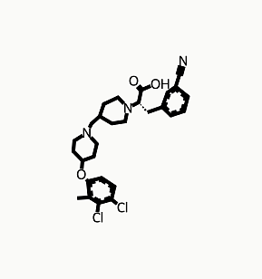 Cc1c(OC2CCN(CC3CCN([C@@H](Cc4cccc(C#N)c4)C(=O)O)CC3)CC2)ccc(Cl)c1Cl